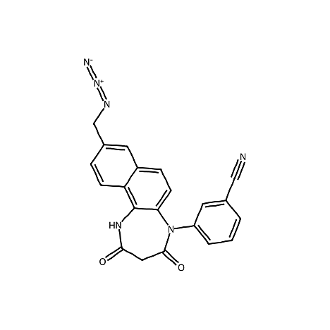 N#Cc1cccc(N2C(=O)CC(=O)Nc3c2ccc2cc(CN=[N+]=[N-])ccc32)c1